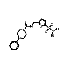 CCN(CC)S(=O)(=O)c1ccc(CNC(=O)N2CCN(c3ccccc3)CC2)s1